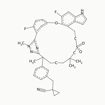 Cn1nc2nc1-c1cc(ccc1F)Oc1c(F)cc3[nH]ccc3c1CCS(=O)(=O)CC(C)(C)CCCC2(C)c1cccc(CC2(C#N)CC2)c1